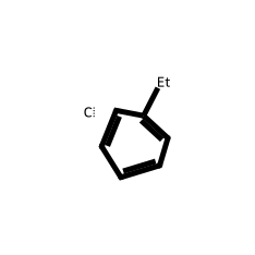 CCc1ccccc1.[C]